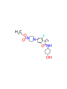 CCOC(=O)N1CCN(c2ccc(C3(C(=O)N[C@H]4CC[C@H](O)CC4)CC3)c(F)c2)CC1